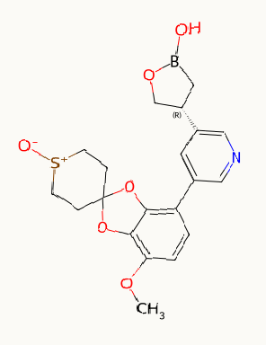 COc1ccc(-c2cncc([C@@H]3COB(O)C3)c2)c2c1OC1(CC[S+]([O-])CC1)O2